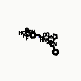 CC(C)(C)C(NC(=O)/C=C/c1ccc(C(F)(F)P(=O)(O)O)cc1)C(=O)N1CCCC1c1nc(-c2ccccc2)cs1